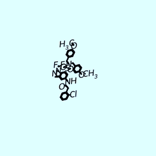 COc1ccc(CN(Cc2ccc(OC)cc2)S(=O)(=O)c2cc(NC(=O)Cc3ccccc3Cl)cc3cnn(C(F)F)c23)cc1